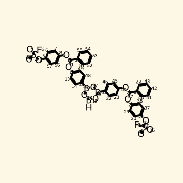 O=S(=O)(F)Oc1ccc(OC(Oc2ccc(B3OBOB(c4ccc(OC(Oc5ccc(OS(=O)(=O)F)cc5)c5ccccc5)cc4)O3)cc2)c2ccccc2)cc1